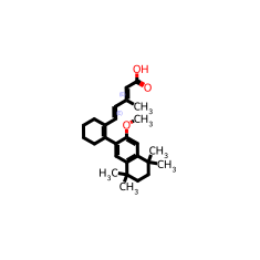 COc1cc2c(cc1C1=C(/C=C/C(C)=C/C(=O)O)CCCC1)C(C)(C)CCC2(C)C